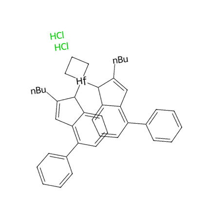 CCCCC1=Cc2c(-c3ccccc3)cccc2[CH]1[Hf]1([CH]2C(CCCC)=Cc3c(-c4ccccc4)cccc32)[CH2]C[CH2]1.Cl.Cl